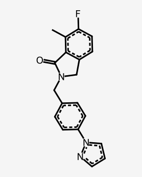 Cc1c(F)ccc2c1C(=O)N(Cc1ccc(-n3cccn3)cc1)C2